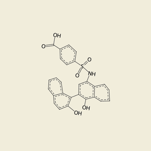 O=C(O)c1ccc(S(=O)(=O)Nc2cc(-c3c(O)ccc4ccccc34)c(O)c3ccccc23)cc1